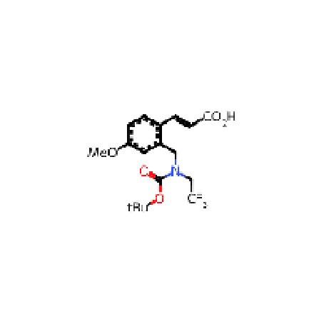 COc1ccc(/C=C/C(=O)O)c(CN(CC(F)(F)F)C(=O)OC(C)(C)C)c1